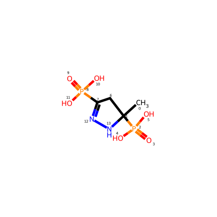 CC1(P(=O)(O)O)CC(P(=O)(O)O)=NN1